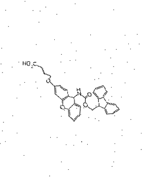 O=C(O)CCCOc1ccc2c(c1)Oc1ccccc1C2NC(=O)OCC1c2ccccc2-c2ccccc21